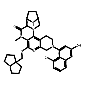 CN1C(=O)C2C3CCC(CN2c2c4c(nc(OCC56CCCN5CCC6)c21)CN(c1cc(O)cc2cccc(Cl)c12)CC4)N3